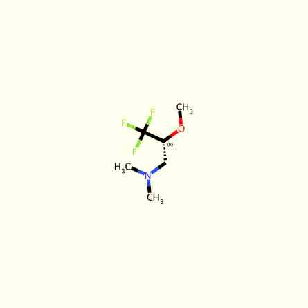 CO[C@H](CN(C)C)C(F)(F)F